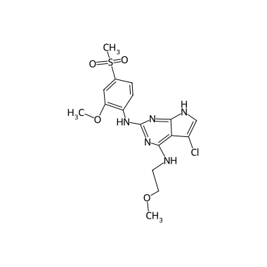 COCCNc1nc(Nc2ccc(S(C)(=O)=O)cc2OC)nc2[nH]cc(Cl)c12